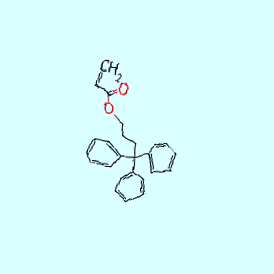 C=CC(=O)OCCCC(c1ccccc1)(c1ccccc1)c1ccccc1